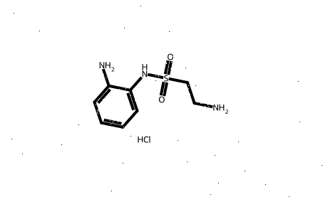 Cl.NCCS(=O)(=O)Nc1ccccc1N